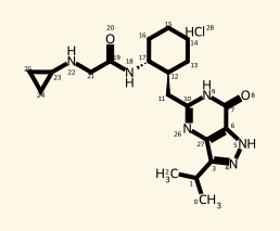 CC(C)c1n[nH]c2c(=O)[nH]c(C[C@@H]3CCCC[C@H]3NC(=O)CNC3CC3)nc12.Cl